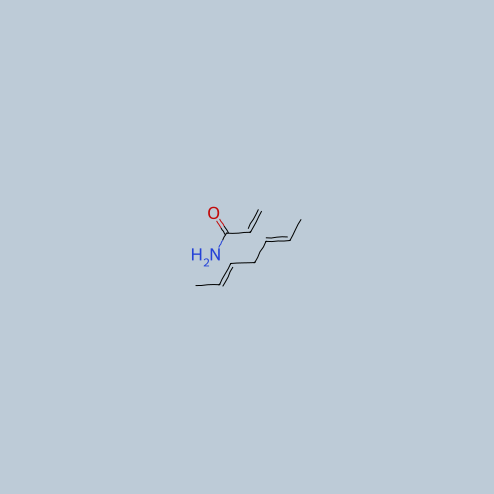 C=CC(N)=O.CC=CCC=CC